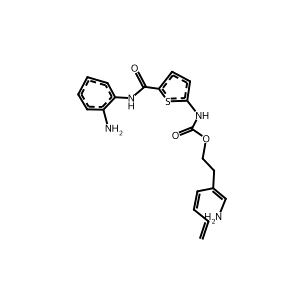 C=C/C=C\C(=C/N)CCOC(=O)Nc1ccc(C(=O)Nc2ccccc2N)s1